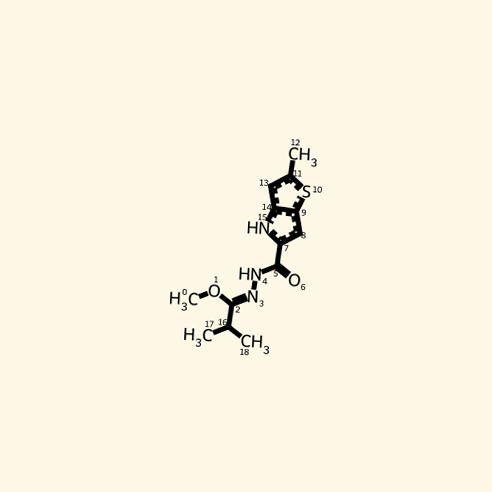 CO/C(=N\NC(=O)c1cc2sc(C)cc2[nH]1)C(C)C